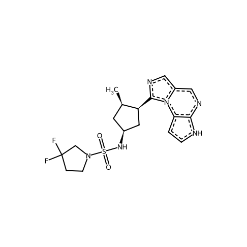 C[C@@H]1C[C@H](NS(=O)(=O)N2CCC(F)(F)C2)C[C@@H]1c1ncc2cnc3[nH]ccc3n12